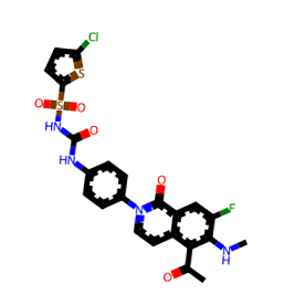 CNc1c(F)cc2c(=O)n(-c3ccc(NC(=O)NS(=O)(=O)c4ccc(Cl)s4)cc3)ccc2c1C(C)=O